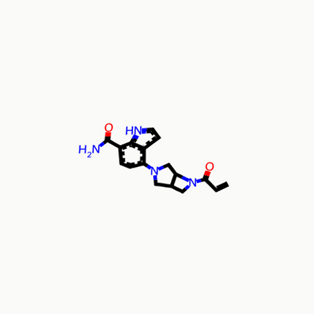 C=CC(=O)N1CC2CN(c3ccc(C(N)=O)c4[nH]ccc34)CC21